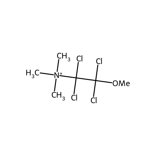 COC(Cl)(Cl)C(Cl)(Cl)[N+](C)(C)C